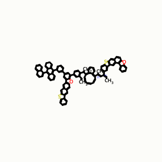 C=Cc1cc(-c2cc(-c3cccc(-c4c5c(c(-c6cccc7ccccc67)c6ccccc46)=CCCC=5)c3)cc3c2oc2cc4cc5c(cc4cc23)sc2ccccc25)ccc1C(=C)c1ccccccc(/C(C)=C/C(=C\C)c2ccc3sc4cc5ccc6oc7ccccc7c6c5cc4c3c2)c2ccccc12